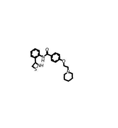 O=C(Nc1ccccc1C1CSN1)c1ccc(OCCN2CCCCC2)cc1